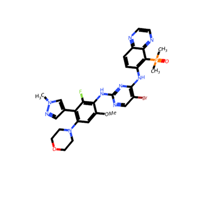 COc1cc(N2CCOCC2)c(-c2cnn(C)c2)c(F)c1Nc1ncc(Br)c(Nc2ccc3nccnc3c2P(C)(C)=O)n1